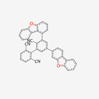 N#Cc1cccc(C#N)c1-c1cc(-c2ccc3c(c2)oc2ccccc23)cc(-c2cccc3oc4ccccc4c23)c1C#N